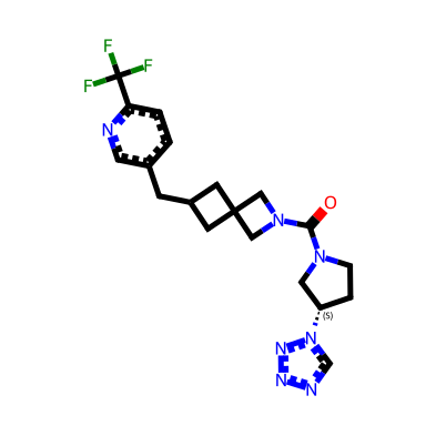 O=C(N1CC[C@H](n2cnnn2)C1)N1CC2(CC(Cc3ccc(C(F)(F)F)nc3)C2)C1